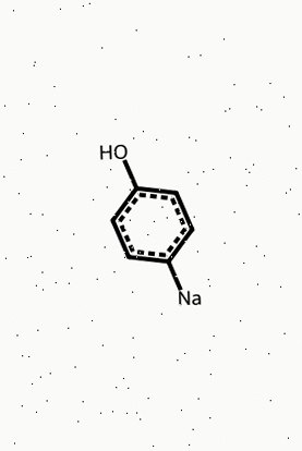 Oc1cc[c]([Na])cc1